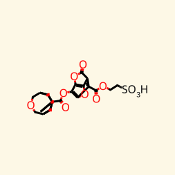 O=C1Oc2c(OC(=O)C34CC5COCC(CC(C5)C3)C4)c3oc2c1c3C(=O)OCCS(=O)(=O)O